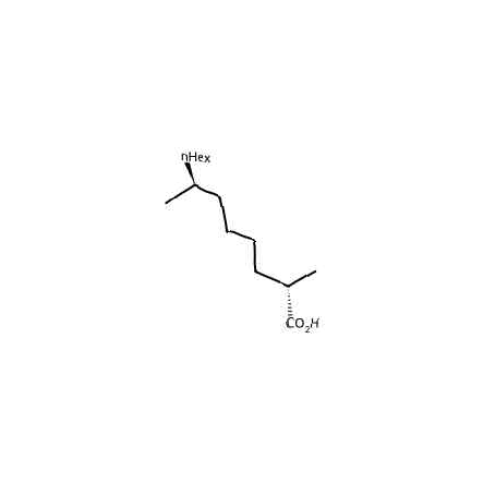 CCCCCC[C@H](C)CCCC[C@H](C)C(=O)O